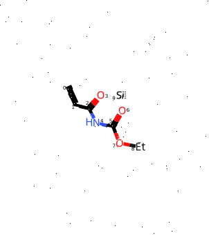 C=CC(=O)NC(=O)OCC.[Si]